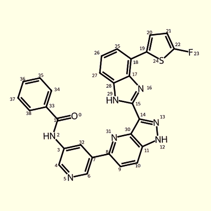 O=C(Nc1cncc(-c2ccc3[nH]nc(-c4nc5c(-c6ccc(F)s6)cccc5[nH]4)c3n2)c1)c1ccccc1